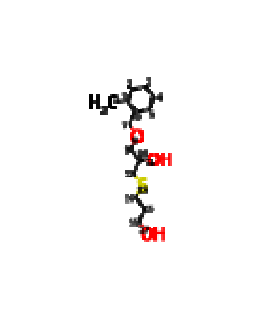 Cc1ccccc1COCC(O)CSCCCO